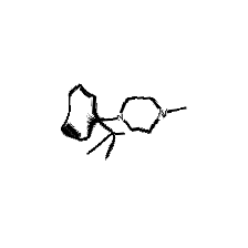 CN1CCN(C2(C(C)(C)C)C=C[CH]C=C2)CC1